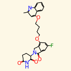 Cc1cc(OCCCCOc2cc(F)cc3c2CN(C2CCC(=O)NC2=O)C3=O)c2ccccc2n1